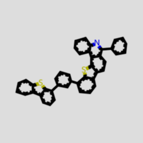 c1ccc(-c2nc3ccccc3c3c2ccc2c4cccc(-c5cccc(-c6cccc7c6sc6ccccc67)c5)c4sc23)cc1